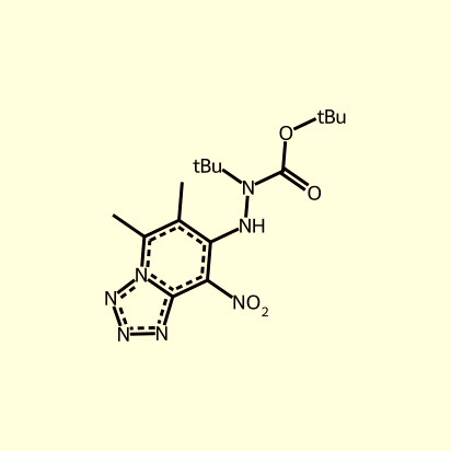 Cc1c(NN(C(=O)OC(C)(C)C)C(C)(C)C)c([N+](=O)[O-])c2nnnn2c1C